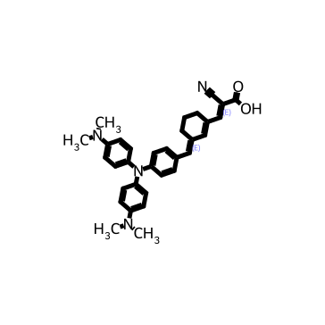 CN(C)c1ccc(N(c2ccc(/C=C3C=C(/C=C(\C#N)C(=O)O)CCC/3)cc2)c2ccc(N(C)C)cc2)cc1